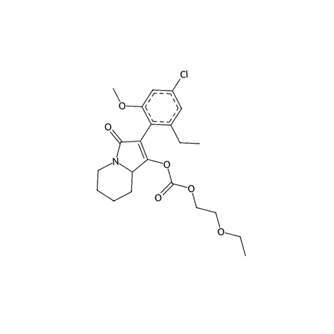 CCOCCOC(=O)OC1=C(c2c(CC)cc(Cl)cc2OC)C(=O)N2CCCCC12